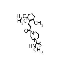 CNC(=S)N1CCCN(C(=O)C=CC2=C(C)CCCC2(C)C)CC1